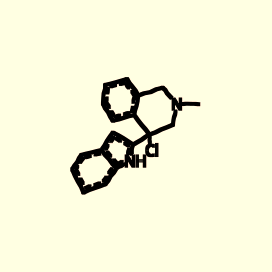 CN1Cc2ccccc2C(Cl)(c2cc3ccccc3[nH]2)C1